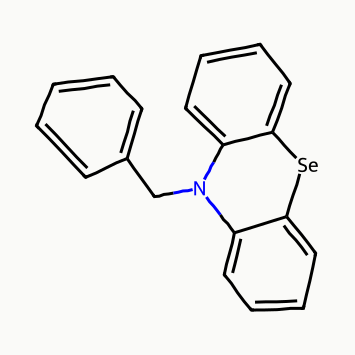 c1ccc(CN2c3ccccc3[Se]c3ccccc32)cc1